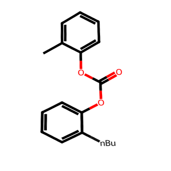 CCCCc1ccccc1OC(=O)Oc1ccccc1C